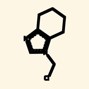 ClCn1cnc2c1CCCC2